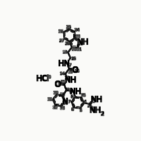 Cl.N=C(N)c1cccc(NC(C(=O)NCC(=O)NCCc2c[nH]c3ccccc23)c2ccccn2)c1